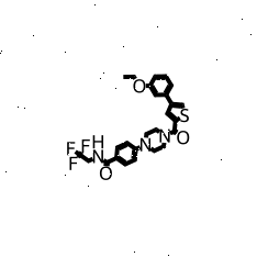 CCOc1cccc(-c2csc(C(=O)N3CCN(c4ccc(C(=O)NCC(F)(F)F)cc4)CC3)c2)c1